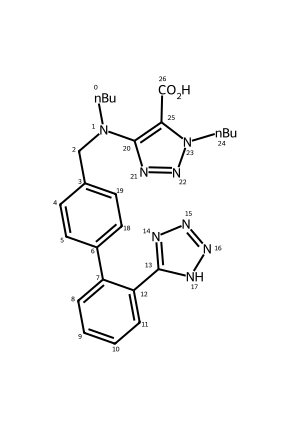 CCCCN(Cc1ccc(-c2ccccc2-c2nnn[nH]2)cc1)c1nnn(CCCC)c1C(=O)O